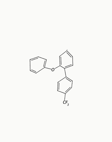 FC(F)(F)c1ccc(-c2cc[c]cc2Oc2ccccc2)cc1